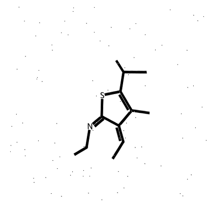 C/C=C1/C(C)=C(C(C)C)S/C1=N/CC